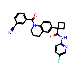 N#Cc1cccc(C(=O)N2CCCc3cc(C4(C(=O)Nc5ccc(F)cn5)CCC4)ccc32)c1